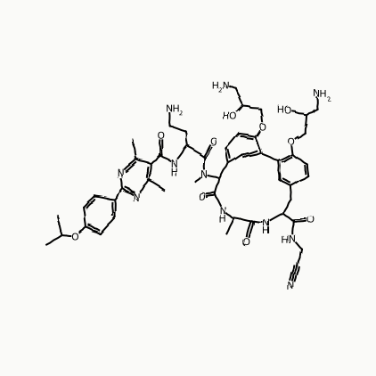 Cc1nc(-c2ccc(OC(C)C)cc2)nc(C)c1C(=O)NC(CCN)C(=O)N(C)C1C(=O)NC(C)C(=O)NC(C(=O)NCC#N)Cc2ccc(OCC(O)CN)c(c2)-c2cc1ccc2OCC(O)CN